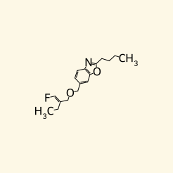 CCCCc1nc2ccc(COCC(=CF)CC)cc2o1